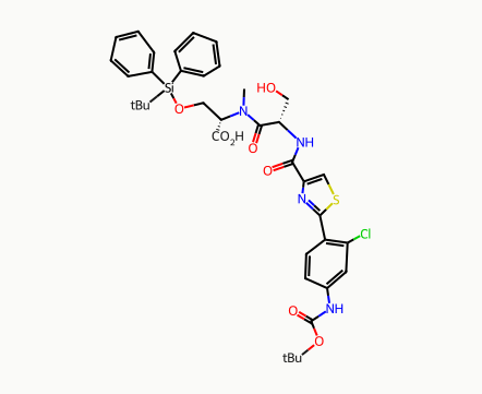 CN(C(=O)[C@H](CO)NC(=O)c1csc(-c2ccc(NC(=O)OC(C)(C)C)cc2Cl)n1)[C@@H](CO[Si](c1ccccc1)(c1ccccc1)C(C)(C)C)C(=O)O